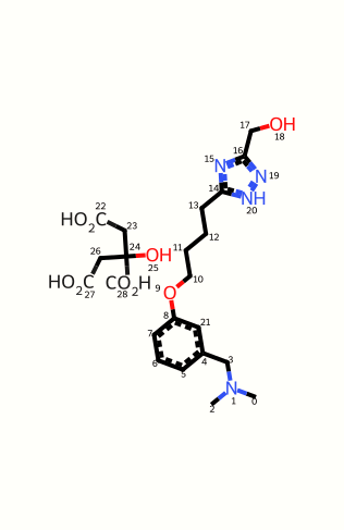 CN(C)Cc1cccc(OCCCCc2nc(CO)n[nH]2)c1.O=C(O)CC(O)(CC(=O)O)C(=O)O